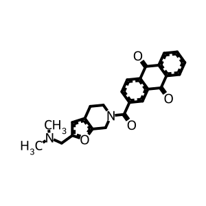 CN(C)Cc1cc2c(o1)CN(C(=O)c1ccc3c(c1)C(=O)c1ccccc1C3=O)CC2